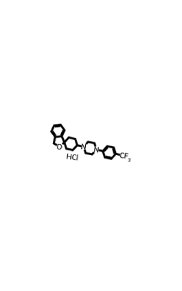 Cl.FC(F)(F)c1ccc(N2CCN(C3CCC4(CC3)OCc3ccccc34)CC2)cc1